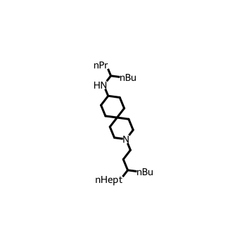 CCCCCCCC(CCCC)CCN1CCC2(CCC(NC(CCC)CCCC)CC2)CC1